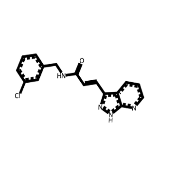 O=C(C=Cc1n[nH]c2ncccc12)NCc1cccc(Cl)c1